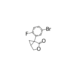 O=C1OCC2CC12c1cc(Br)ccc1F